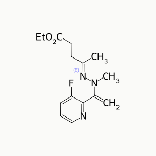 C=C(c1ncccc1F)N(C)/N=C(\C)CCC(=O)OCC